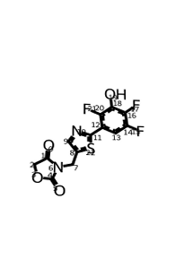 O=C1COC(=O)N1Cc1cnc(-c2cc(F)c(F)c(O)c2F)s1